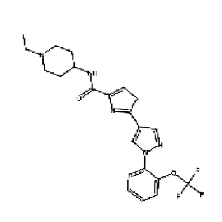 CCN1CCC(NC(=O)c2csc(-c3cnn(-c4ccccc4OC(F)(F)F)c3)n2)CC1